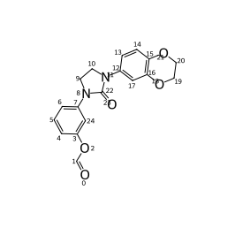 O=COc1cccc(N2CCN(c3ccc4c(c3)OCCO4)C2=O)c1